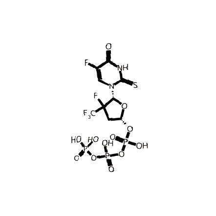 O=c1[nH]c(=S)n([C@@H]2O[C@H](OP(=O)(O)OP(=O)(O)OP(=O)(O)O)CC2(F)C(F)(F)F)cc1F